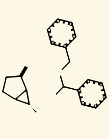 CC(NCc1ccccc1)c1ccccc1.O=C1CCC2C1[C@H]2C(=O)O